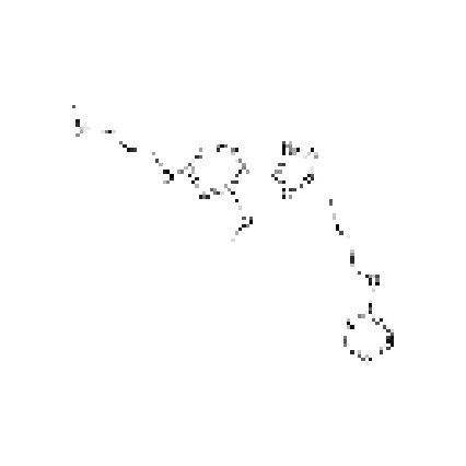 COc1cc(OCCCN(C)C)ccc1-c1nnc(CSCCOc2ccccc2)o1